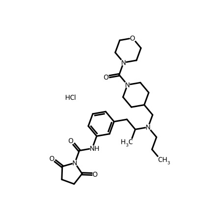 CCCN(CC1CCN(C(=O)N2CCOCC2)CC1)C(C)Cc1cccc(NC(=O)N2C(=O)CCC2=O)c1.Cl